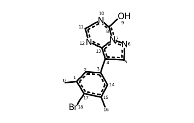 Cc1cc(-c2cnn3c(O)ncnc23)cc(C)c1Br